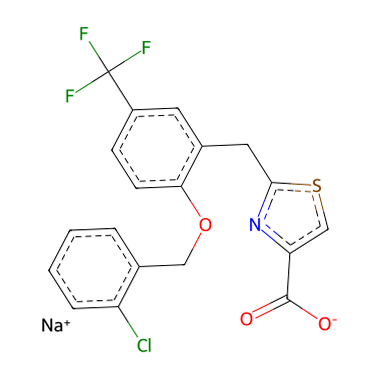 O=C([O-])c1csc(Cc2cc(C(F)(F)F)ccc2OCc2ccccc2Cl)n1.[Na+]